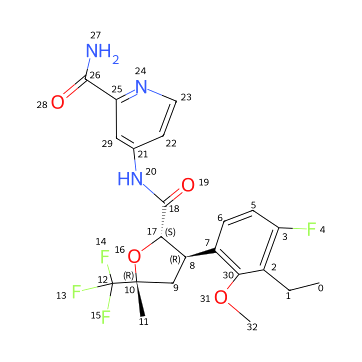 CCc1c(F)ccc([C@H]2C[C@](C)(C(F)(F)F)O[C@@H]2C(=O)Nc2ccnc(C(N)=O)c2)c1OC